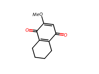 COC1=CC(=O)C2=C(CCCC2)C1=O